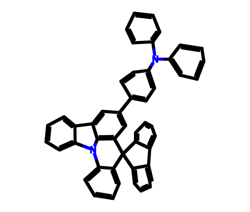 c1ccc(N(c2ccccc2)c2ccc(-c3cc4c5c(c3)c3ccccc3n5-c3ccccc3C43c4ccccc4-c4ccccc43)cc2)cc1